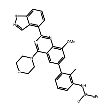 CCC[S+]([O-])Nc1cccc(-c2cc(OC)c3nc(-c4cccc5[nH]ncc45)nc(N4CCOCC4)c3c2)c1F